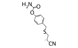 N#C[CH]CSCc1ccc(OC(N)=O)cc1